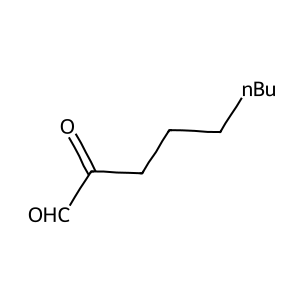 CCCCCCCC(=O)C=O